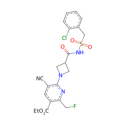 CCOC(=O)c1cc(C#N)c(N2CC(C(=O)NS(=O)(=O)Cc3ccccc3Cl)C2)nc1CF